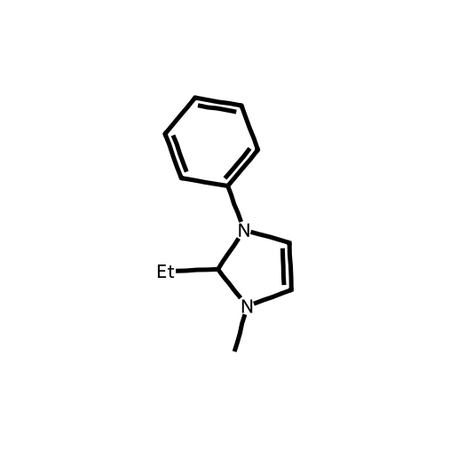 CCC1N(C)C=CN1c1ccccc1